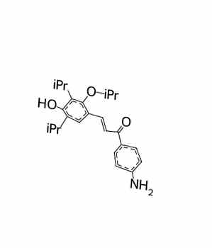 CC(C)Oc1c(C=CC(=O)c2ccc(N)cc2)cc(C(C)C)c(O)c1C(C)C